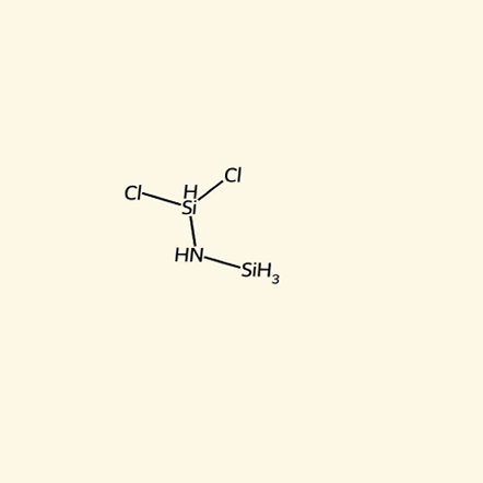 [SiH3]N[SiH](Cl)Cl